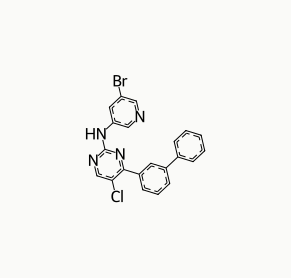 Clc1cnc(Nc2cncc(Br)c2)nc1-c1cccc(-c2ccccc2)c1